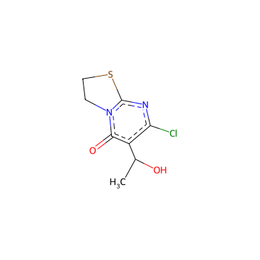 CC(O)c1c(Cl)nc2n(c1=O)CCS2